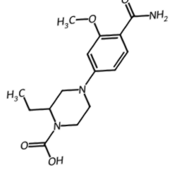 CCC1CN(c2ccc(C(N)=O)c(OC)c2)CCN1C(=O)O